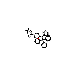 CC(C)(C)OC(=O)N1CCC(C(c2nnn[nH]2)C(c2ccccc2)(c2ccccc2)c2ccccc2)CC1